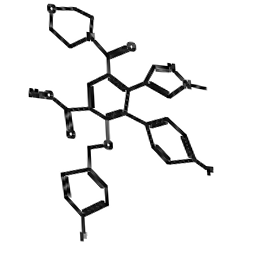 COC(=O)c1cc(C(=O)N2CCOCC2)c(-c2cnn(C)c2)c(-c2ccc(F)cc2)c1OCc1ccc(F)cc1